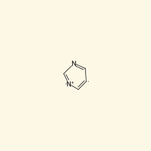 [C]1=C[N+]=CN=C1